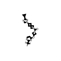 O=C(N1CC(Oc2ccnc(C(F)(F)F)n2)C1)N1CC2(CC(n3cnc(C4CC4)n3)C2)C1